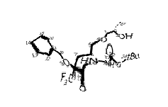 C[C@H](O)COCCCC(OCc1ccccc1)(C(=O)NNC(=O)OC(C)(C)C)C(F)(F)F